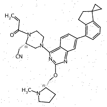 C=CC(=O)N1CCN(c2nc(OC[C@@H]3CCCN3C)nc3cc(-c4cccc5c4CCC54CC4)ccc23)C[C@@H]1CC#N